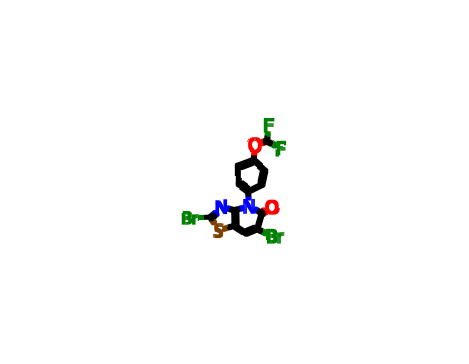 O=c1c(Br)cc2sc(Br)nc2n1-c1ccc(OC(F)F)cc1